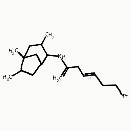 C=C(C/C=C/CCC(C)C)NC1C(C)CC2(C)CC1CC2C